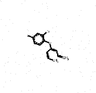 C=C/C=C(\C=C/C)Oc1ccc(I)cc1Br